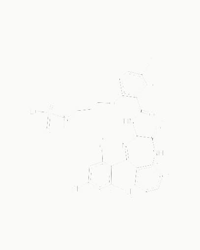 CCS(=O)(=O)NCCCOc1ccc(Cl)cc1C(=O)NC1N=C(c2c(Cl)cc(Cl)cc2Cl)c2ccccc2NC1=O